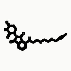 CC#CCOCCOCCNc1cccc2c1C(=O)N(C1CCC(=O)NC1=O)C2=O